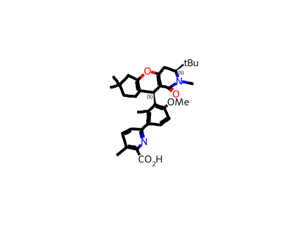 COc1ccc(-c2ccc(C)c(C(=O)O)n2)c(C)c1[C@H]1C2=C(CC(C)(C)CC2)OC2=C1C(=O)N(C)[C@H](C(C)(C)C)C2